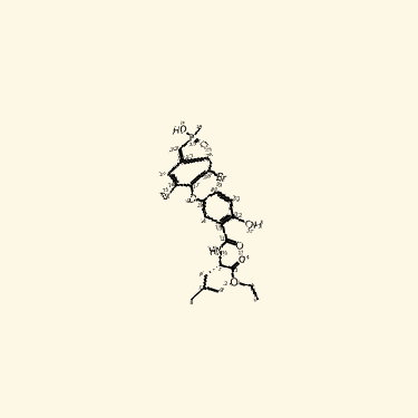 CCOC(=O)[C@H](CC(C)C)NC(=O)c1cc(Oc2c(Br)cc(CP(C)(=O)O)cc2Br)ccc1O